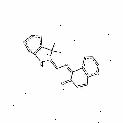 CC1(C)/C(=C\N=C2/C(=O)C=Cc3ncccc32)Nc2ccccc21